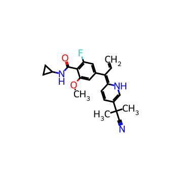 C=C/C(=C1/C=CC(C(C)(C)C#N)=CN1)c1cc(F)c(C(=O)NC2CC2)c(OC)c1